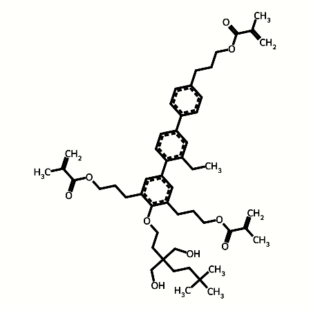 C=C(C)C(=O)OCCCc1ccc(-c2ccc(-c3cc(CCCOC(=O)C(=C)C)c(OCCC(CO)(CO)CCC(C)(C)C)c(CCCOC(=O)C(=C)C)c3)c(CC)c2)cc1